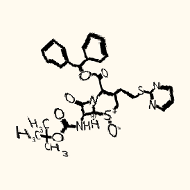 CC(C)(C)OC(=O)NC1C(=O)N2C(C(=O)OC(c3ccccc3)c3ccccc3)=C(C=CSc3ncccn3)C[S+]([O-])[C@@H]12